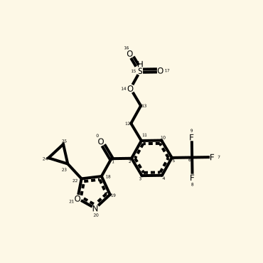 O=C(c1ccc(C(F)(F)F)cc1CCO[SH](=O)=O)c1cnoc1C1CC1